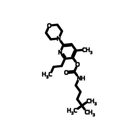 CCCc1nc(N2CCOCC2)cc(C)c1OC(=O)NCCCC(C)(C)C